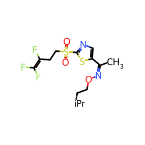 C/C(=N/OCCC(C)C)c1cnc(S(=O)(=O)CCC(F)=C(F)F)s1